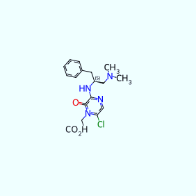 CN(C)C[C@H](Cc1ccccc1)Nc1ncc(Cl)n(CC(=O)O)c1=O